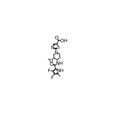 CO[C@H]1CN(c2ncc(C(=O)O)s2)CC[C@H]1NC(=O)c1[nH]c(C)c(F)c1F